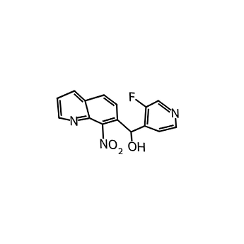 O=[N+]([O-])c1c(C(O)c2ccncc2F)ccc2cccnc12